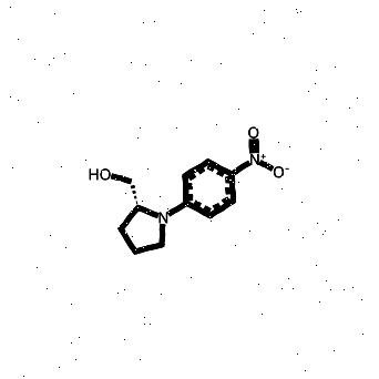 O=[N+]([O-])c1ccc(N2CCC[C@@H]2CO)cc1